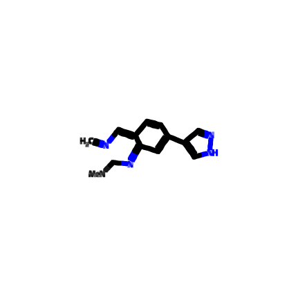 C=N/C=C1/C=CC(c2cn[nH]c2)=C/C1=N/CNC